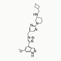 COc1cc(-c2cn(Cc3cnc(N4CCCC(NCC5CCC5)C4)nc3)nn2)c2cn[nH]c2c1